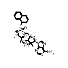 C[C@H](NP(=O)(OC[C@H]1O[C@@H](n2cnc3c(N)ncnc32)C(C)(O)C1O)Oc1cccc2ccccc12)C(=O)OC(C)(C)C